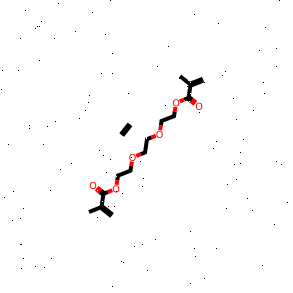 C=C.C=C(C)C(=O)OCCOCCOCCOC(=O)C(=C)C